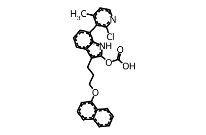 Cc1ccnc(Cl)c1-c1cccc2c(CCCOc3cccc4ccccc34)c(OC(=O)O)[nH]c12